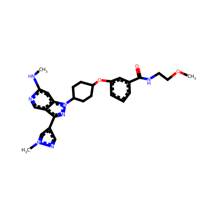 CNc1cc2c(cn1)c(-c1cnn(C)c1)nn2C1CCC(Oc2cccc(C(=O)NCCOC)c2)CC1